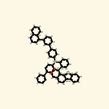 c1ccc(-c2ccc(N(c3ccc(-c4cccc(-c5cccc6ccccc56)c4)cc3)c3ccccc3-c3cccc4ccc5c6ccccc6oc5c34)cc2)cc1